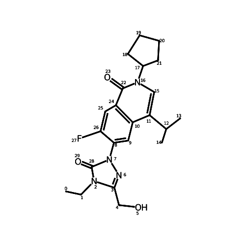 CCn1c(CO)nn(-c2cc3c(C(C)C)cn(C4CCCC4)c(=O)c3cc2F)c1=O